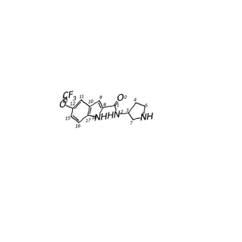 O=C(NC1CCNC1)c1cc2cc(OC(F)(F)F)ccc2[nH]1